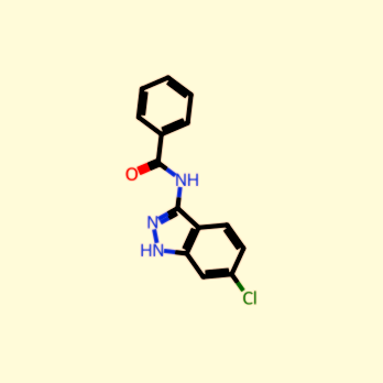 O=C(Nc1n[nH]c2cc(Cl)ccc12)c1ccccc1